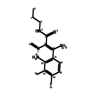 C=N/C(C(=O)NCCC)=C(/N)c1ccc(F)c(C)c1N